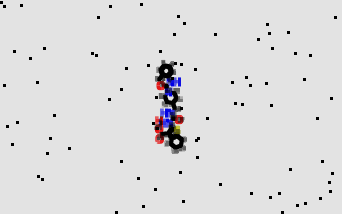 Cc1ccccc1NC(=O)N1CCC(CNC(=O)Nc2sc3c(c2C(=O)O)CCCC3)CC1